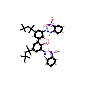 CC(C)(C)CC(C)(C)c1cc(N=Nc2ccccc2[N+](=O)[O-])c(O)c(-c2cc(C(C)(C)CC(C)(C)C)cc(N=Nc3ccccc3[N+](=O)[O-])c2O)c1